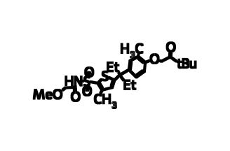 CCC(CC)(c1ccc(OCC(=O)C(C)(C)C)c(C)c1)c1cc(C)c(S(=O)(=O)NC(=O)COC)s1